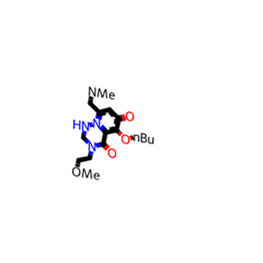 CCCCOc1c2n(c(CNC)cc1=O)NCN(CCOC)C2=O